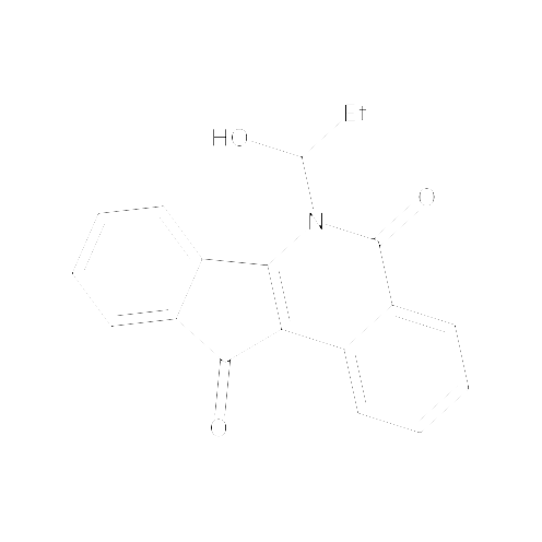 CCC(O)n1c2c(c3ccccc3c1=O)C(=O)c1ccccc1-2